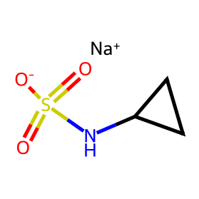 O=S(=O)([O-])NC1CC1.[Na+]